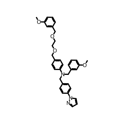 COc1cccc(COCCOCc2ccc(N(Cc3ccc(-n4cccn4)cc3)Cc3cccc(OC)c3)cc2)c1